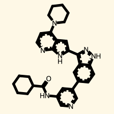 O=C(Nc1cncc(-c2ccc3[nH]nc(-c4cc5c(N6CCCCC6)ccnc5[nH]4)c3c2)c1)C1CCCCC1